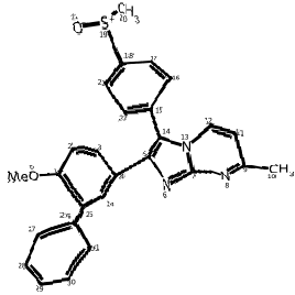 COc1ccc(-c2nc3nc(C)ccn3c2-c2ccc([S+](C)[O-])cc2)cc1-c1ccccc1